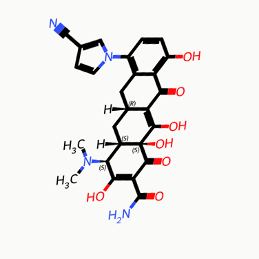 CN(C)[C@@H]1C(O)=C(C(N)=O)C(=O)[C@@]2(O)C(O)=C3C(=O)c4c(O)ccc(-n5ccc(C#N)c5)c4C[C@H]3C[C@@H]12